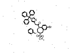 CS(=O)(=O)N1Cc2cc(Br)ccc2N(C(=O)Cc2cn(C(c3ccccc3)(c3ccccc3)c3ccccc3)cn2)C[C@H]1Cc1ccccc1